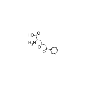 NC(CC(=O)CC(=O)c1ccccc1)C(=O)O